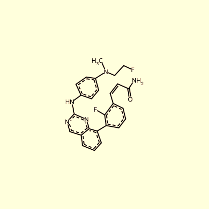 CN(CCF)c1ccc(Nc2ncc3cccc(-c4cccc(C=CC(N)=O)c4F)c3n2)cc1